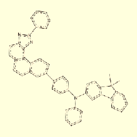 CC1(C)c2ccccc2-c2cc(N(c3ccccc3)c3ccc(-c4ccc5c(ccc6ccc7nn(-c8ccccc8)nc7c65)c4)cc3)ccc21